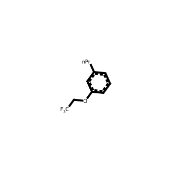 CCCc1c[c]cc(OCC(F)(F)F)c1